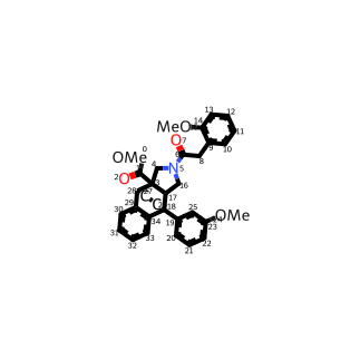 COC(=O)C12CN(C(=O)Cc3ccccc3OC)CC1C1(c3cccc(OC)c3)CCC2c2ccccc21